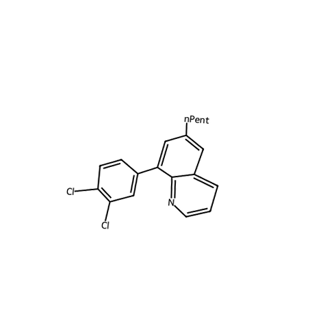 CCCCCc1cc(-c2ccc(Cl)c(Cl)c2)c2ncccc2c1